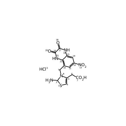 Cl.NC1SC=C(CC(=O)O)N1Cc1cc([N+](=O)[O-])cc2[nH]c(=O)c(=O)[nH]c12